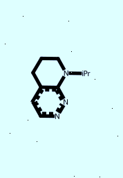 CC(C)N1CCCc2ccnnc21